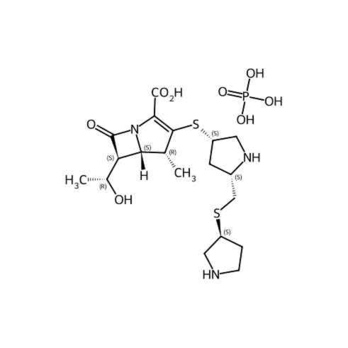 C[C@@H](O)[C@H]1C(=O)N2C(C(=O)O)=C(S[C@@H]3CN[C@H](CS[C@H]4CCNC4)C3)[C@H](C)[C@H]12.O=P(O)(O)O